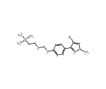 Cn1cc(Br)c(-c2ccc(OCOCC[Si](C)(C)C)cc2)n1